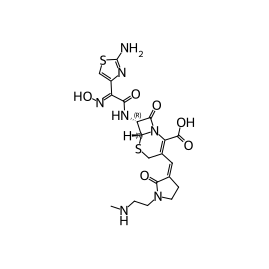 CNCCN1CCC(=CC2=C(C(=O)O)N3C(=O)[C@@H](NC(=O)C(=NO)c4csc(N)n4)[C@H]3SC2)C1=O